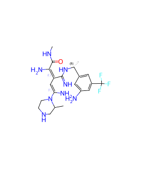 CNC(=O)/C(N)=C(/C=C(\N)N1CCNCC1C)C(=N)N[C@H](C)c1cc(N)cc(C(F)(F)F)c1